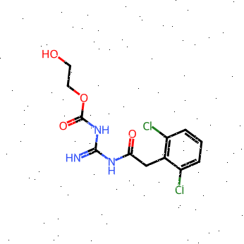 N=C(NC(=O)Cc1c(Cl)cccc1Cl)NC(=O)OCCO